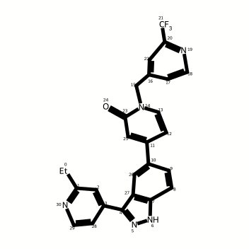 CCc1cc(-c2n[nH]c3ccc(-c4ccn(Cc5ccnc(C(F)(F)F)c5)c(=O)c4)cc23)ccn1